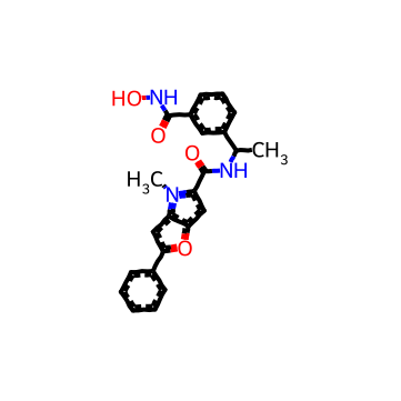 CC(NC(=O)c1cc2oc(-c3ccccc3)cc2n1C)c1cccc(C(=O)NO)c1